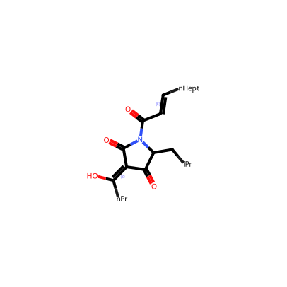 CCCCCCC/C=C/C(=O)N1C(=O)/C(=C(\O)CCC)C(=O)C1CC(C)C